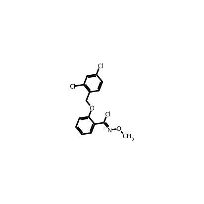 CO/N=C(\Cl)c1ccccc1OCc1ccc(Cl)cc1Cl